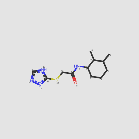 CC1CCCC(NC(=O)CSc2nnc[nH]2)C1C